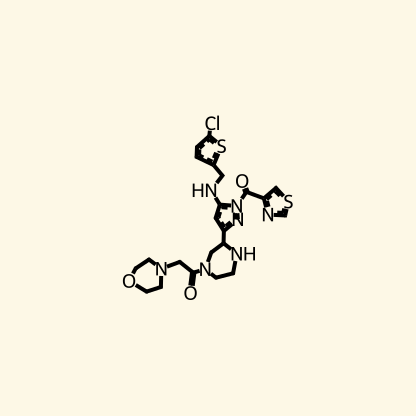 O=C(CN1CCOCC1)N1CCNC(c2cc(NCc3ccc(Cl)s3)n(C(=O)c3cscn3)n2)C1